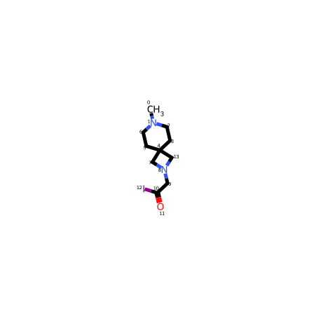 CN1CCC2(CC1)CN(CC(=O)I)C2